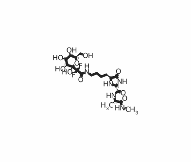 CNC(=O)[C@H](C)NC(=O)[C@H]1NC(=O)[C@H](CCCCNC(=O)C(F)(F)[C@]2(O)O[C@H](CO)[C@H](O)[C@H](O)[C@H]2O)N1